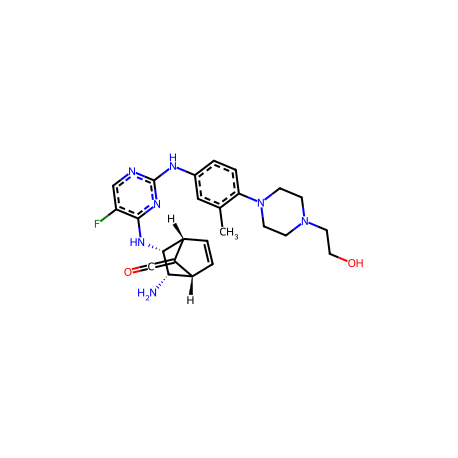 Cc1cc(Nc2ncc(F)c(N[C@H]3[C@@H](N)[C@H]4C=C[C@@H]3C4=C=O)n2)ccc1N1CCN(CCO)CC1